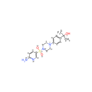 CC(O)(c1ccc(N2CCN(S(=O)(=O)c3ccc(N)nc3)CC2)cc1)C(F)(F)F